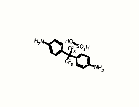 Nc1ccc(C(c2ccc(N)cc2)(C(F)(F)F)C(F)(F)F)cc1.O=S(=O)(O)O